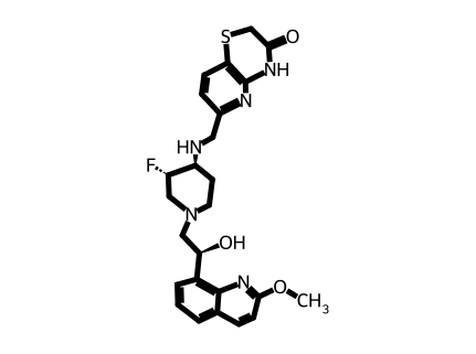 COc1ccc2cccc([C@H](O)CN3CC[C@H](NCc4ccc5c(n4)NC(=O)CS5)[C@@H](F)C3)c2n1